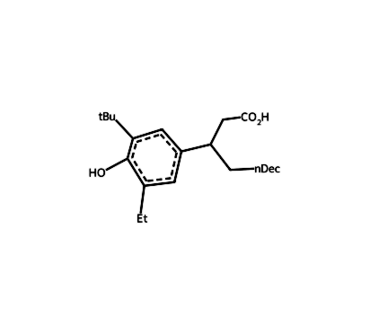 CCCCCCCCCCCC(CC(=O)O)c1cc(CC)c(O)c(C(C)(C)C)c1